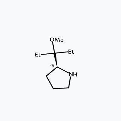 CCC(CC)(OC)[C@@H]1CCCN1